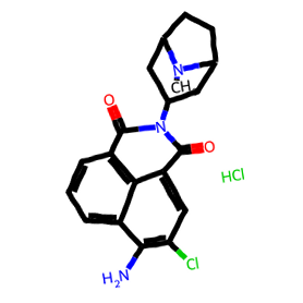 CN1C2CCC1CC(N1C(=O)c3cccc4c(N)c(Cl)cc(c34)C1=O)C2.Cl